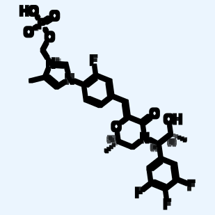 Cc1cn(-c2ccc(C=C3O[C@@H](C)CN([C@H](c4cc(F)c(F)c(F)c4)[C@@H](C)O)C3=O)cc2F)c[n+]1COP(=O)([O-])O